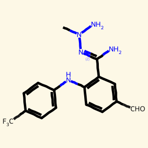 CN(N)/N=C(\N)c1cc(C=O)ccc1Nc1ccc(C(F)(F)F)cc1